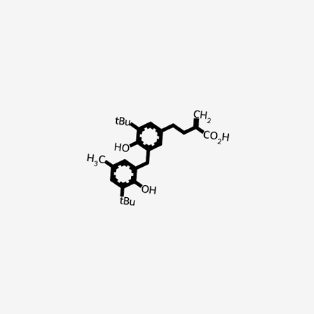 C=C(CCc1cc(Cc2cc(C)cc(C(C)(C)C)c2O)c(O)c(C(C)(C)C)c1)C(=O)O